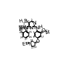 Bc1cnc(Nc2ccc(OC3CCN(CC)C3)cc2OCC)nc1Nc1ccccc1SNC